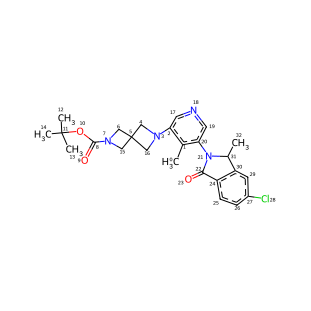 Cc1c(N2CC3(CN(C(=O)OC(C)(C)C)C3)C2)cncc1N1C(=O)c2ccc(Cl)cc2C1C